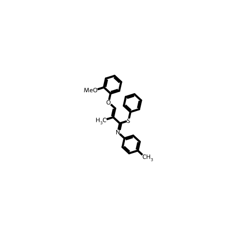 COc1ccccc1O/C=C(C)/C(=N/c1ccc(C)cc1)Sc1ccccc1